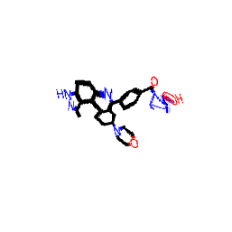 Cc1n[nH]c2ccc3nc(-c4ccc(C(=O)NO)cc4)c4c(c3c12)CCC(N1CCOCC1)C4